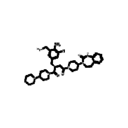 CCc1cc(C[C@@H](CC(=O)N2CCC(N3CCc4ccccc4NC3=O)CC2)C(=O)N2CCC(N3CCCCC3)CC2)cc(Cl)c1N